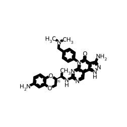 CC(Nc1ncc2c3[nH]nc(N)c3c(=O)n(-c3ccc(CN(C)C)cc3)c2n1)[C@H]1COc2cc(N)ccc2O1